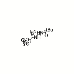 CC(C)(C)C(=O)NCCNCCOP([O-])([O-])=S.[Li+].[Li+]